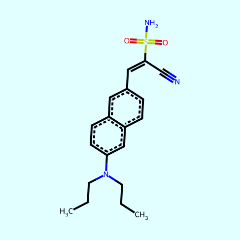 CCCN(CCC)c1ccc2cc(/C=C(\C#N)S(N)(=O)=O)ccc2c1